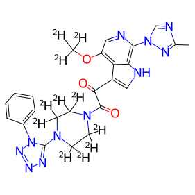 [2H]C([2H])([2H])Oc1cnc(-n2cnc(C)n2)c2[nH]cc(C(=O)C(=O)N3C([2H])([2H])C([2H])([2H])N(c4nnnn4-c4ccccc4)C([2H])([2H])C3([2H])[2H])c12